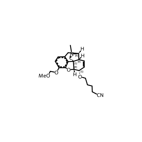 COCOc1ccc2c3c1O[C@H]1[C@@H](OCCCCC#N)C=C[C@H]4[C@@H](C2)N(C)CC[C@@]341